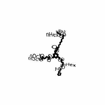 CCCCCCCCOC(CCC(=O)OCc1cc(COC(=O)CCCCCCCC(=O)OCC(CCCC)CCCCCC)cc(COC(=O)CCC(CCCCCC)OC(=O)NCCN2CCCC2)c1)OCCCCCCCC